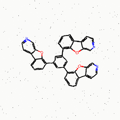 c1cc(-c2cc(-c3cccc4c3oc3cnccc34)cc(-c3cccc4c3oc3cnccc34)c2)c2oc3cnccc3c2c1